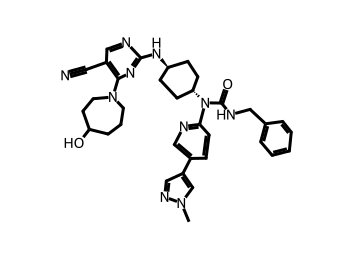 Cn1cc(-c2ccc(N(C(=O)NCc3ccccc3)[C@H]3CC[C@H](Nc4ncc(C#N)c(N5CCCC(O)CC5)n4)CC3)nc2)cn1